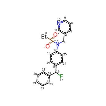 CCS(=O)(=O)N(Cc1cccnc1)c1ccc(C(F)c2ccccc2)cc1